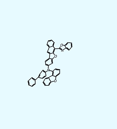 c1ccc(-c2ccc(N(c3ccc4c(c3)oc3c(-c5nc6ccccc6o5)c5ccccc5cc34)c3cccc4oc5ccccc5c34)cc2)cc1